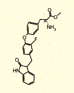 COC(=O)[C@H](N)Cc1ccc(Oc2ccc(CC3C(=O)Nc4ccccc43)cc2F)cc1